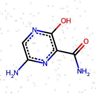 NC(=O)c1nc(N)cnc1O